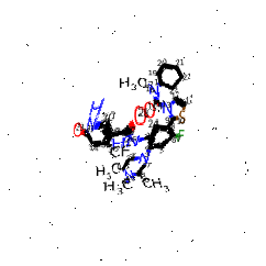 C[C@@H]1CN(c2cc(F)c(C3SC=CN3C(=O)N(C)C3CCCCC3)cc2NC(=O)c2c[nH]c(=O)cc2C(F)(F)F)C[C@H](C)N1C